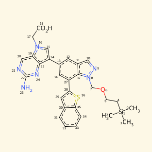 C[Si](C)(C)CCOCn1ncc2cc(-c3cn(CC(=O)O)c4cnc(N)nc34)cc(-c3cc4ccccc4s3)c21